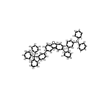 c1ccc(N(c2ccccc2)c2cccc(-c3ccccc3-c3ccc4oc5ccc(-c6ccc7c(c6)C(c6ccccc6)(c6ccccc6)c6ccccc6-7)cc5c4c3)c2)cc1